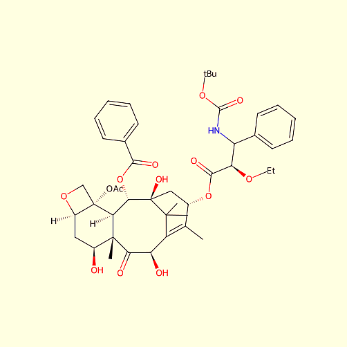 CCO[C@@H](C(=O)O[C@H]1C[C@@]2(O)[C@@H](OC(=O)c3ccccc3)[C@@H]3[C@]4(OC(C)=O)CO[C@@H]4C[C@H](O)[C@@]3(C)C(=O)[C@H](O)C(=C1C)C2(C)C)C(NC(=O)OC(C)(C)C)c1ccccc1